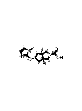 Cn1ccnc1S[C@H]1C[C@@H]2CN(C(=O)O)C[C@@H]2C1